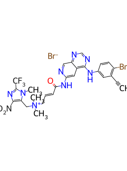 C#Cc1cc(Nc2ncnc3cnc(NC(=O)/C=C/C[N+](C)(C)Cc4c([N+](=O)[O-])nc(C(F)(F)F)n4C)cc23)ccc1Br.[Br-]